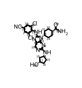 N#Cc1cc(Cl)c(Nc2nc3cnc(N[C@@H]4CC[C@@H](O)C4)nc3n2[C@H]2CC[C@H](C(N)=O)CC2)c(Cl)c1